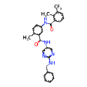 Cc1ccc(NC(=O)c2cccc(C(F)(F)F)c2C)cc1C(=O)Nc1cnc(NCc2ccccc2)nc1